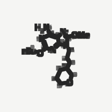 CCCCOc1nc(N)c2nc(OC)n(CCCC3CCCOC3)c2n1